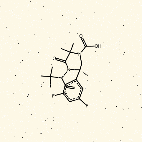 C=CC(N1C(=O)C(C)(C)N(C(=O)O)C[C@@]1(C)c1cc(F)cc(F)c1)C(C)(C)C